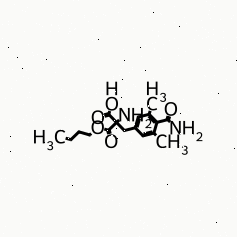 CCCCOC(=O)C(N)(Cc1cc(C)c(C(N)=O)c(C)c1)C(=O)O